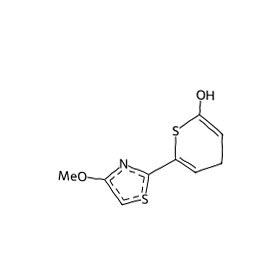 COc1csc(C2=CCC=C(O)S2)n1